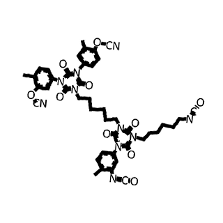 Cc1ccc(-n2c(=O)n(CCCCCCN=C=O)c(=O)n(CCCCCCn3c(=O)n(-c4ccc(OC#N)c(C)c4)c(=O)n(-c4ccc(C)c(OC#N)c4)c3=O)c2=O)cc1N=C=O